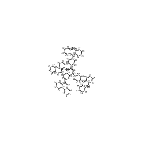 c1ccc2c(c1)cc(-c1cc(-c3cc4ccccc4c4ccccc34)c3nc(-c4ccc(-c5c6ccccc6nc6ccccc56)cc4)nc(-c4ccc(-c5c6ccccc6nc6ccccc56)cc4)c3c1)c1ccccc12